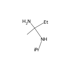 CCC(C)(N)NC(C)C